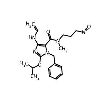 C=CNc1nc(OC(C)C)n(Cc2ccccc2)c1C(=O)N(C)CCCN=O